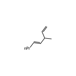 C=CC(C)C=CCCC